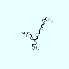 CCOC(COCCOCCOC)OCC